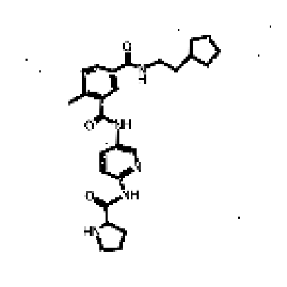 Cc1ccc(C(=O)NCCC2CCCC2)cc1C(=O)Nc1ccc(NC(=O)[C@H]2CCCN2)nc1